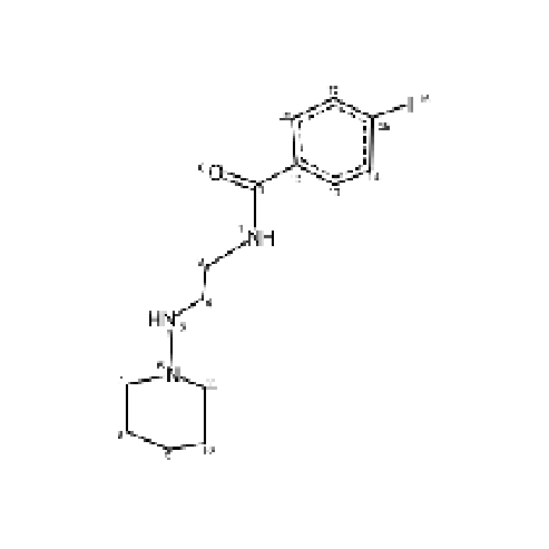 O=C(NCCNN1CCCCC1)c1ccc(I)cc1